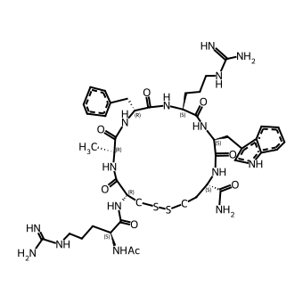 CC(=O)N[C@@H](CCCNC(=N)N)C(=O)N[C@H]1CSSCC[C@@H](C(N)=O)NC(=O)[C@H](Cc2c[nH]c3ccccc23)NC(=O)[C@H](CCCNC(=N)N)NC(=O)[C@@H](Cc2ccccc2)NC(=O)[C@@H](C)NC1=O